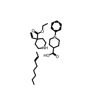 C=CC1(C(=O)OCC)CCNCC1.CC=CCCCCC.O=C(O)C1CCN(c2ccccc2)CC1